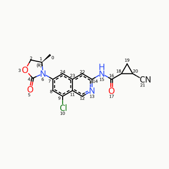 C[C@@H]1COC(=O)N1c1cc(Cl)c2cnc(NC(=O)C3CC3C#N)cc2c1